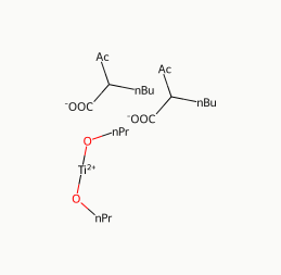 CCCCC(C(C)=O)C(=O)[O-].CCCCC(C(C)=O)C(=O)[O-].CCC[O][Ti+2][O]CCC